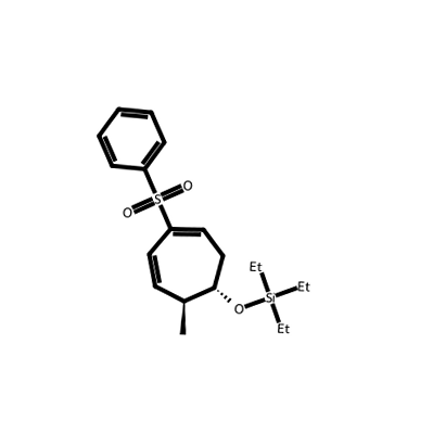 CC[Si](CC)(CC)O[C@H]1CC=C(S(=O)(=O)c2ccccc2)C=C[C@@H]1C